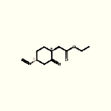 C=C[C@@H]1CC[C@@H](CC(=O)OCC)C(=O)C1